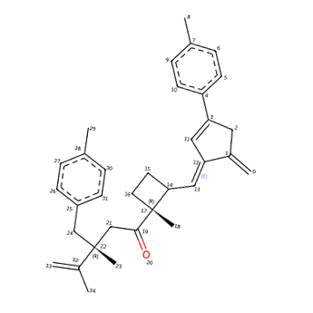 C=C1CC(c2ccc(C)cc2)=C/C1=C\C1CC[C@@]1(C)C(=O)C[C@@](C)(Cc1ccc(C)cc1)C(=C)C